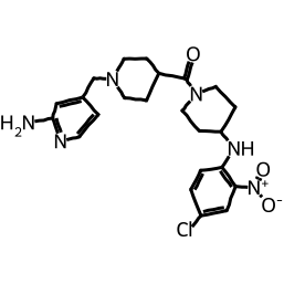 Nc1cc(CN2CCC(C(=O)N3CCC(Nc4ccc(Cl)cc4[N+](=O)[O-])CC3)CC2)ccn1